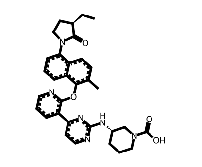 CC[C@@H]1CCN(c2cccc3c(Oc4ncccc4-c4ccnc(N[C@H]5CCCN(C(=O)O)C5)n4)c(C)ccc23)C1=O